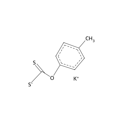 Cc1ccc(OC(=S)[S-])cc1.[K+]